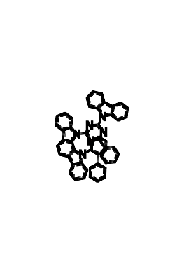 c1ccc(-c2nc(-n3c4ccccc4c4ccccc43)nc(-n3c4ccccc4c4ccc5c6ccccc6n(-c6ccccc6-c6ccccc6)c5c43)n2)cc1